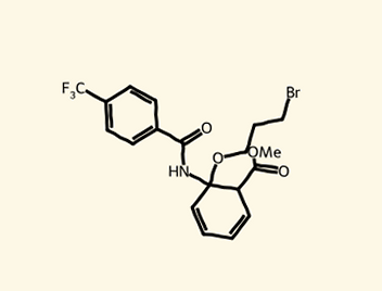 COC(=O)C1C=CC=CC1(NC(=O)c1ccc(C(F)(F)F)cc1)OCCCBr